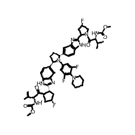 COC(=O)N[C@H](C(=O)C1C[C@H](F)C[C@H]1c1nc2cc([C@H]3CC[C@H](c4ccc5[nH]c(C6C[C@@H](F)CN6C(=O)[C@@H](NC(=O)OC)C(C)C)nc5c4)N3c3cc(F)c(N4CCCCC4)c(F)c3)ccc2[nH]1)C(C)C